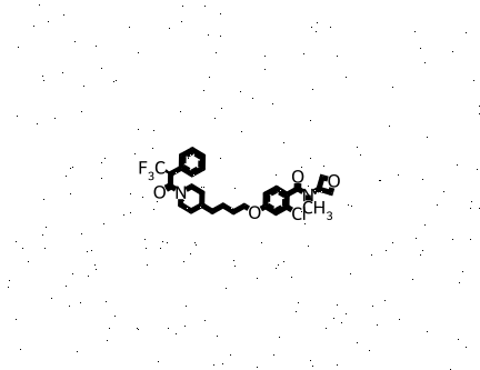 CN(C(=O)c1ccc(OCCCCC2CCN(C(=O)[C@H](c3ccccc3)C(F)(F)F)CC2)cc1Cl)C1COC1